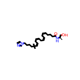 C[C@H](CO)NC(=O)CCC/C=C\C/C=C\C/C=C\C/C=C\C(C)(C)CCCCn1ccnc1